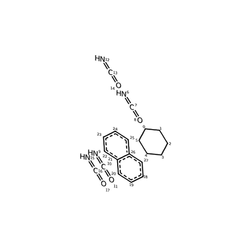 C1CCCCC1.N=C=O.N=C=O.N=C=O.N=C=O.c1ccc2ccccc2c1